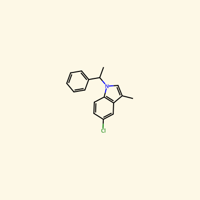 Cc1cn(C(C)c2ccccc2)c2ccc(Cl)cc12